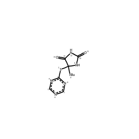 CCCCC1(Sc2ncncn2)NC(=O)NC1=O